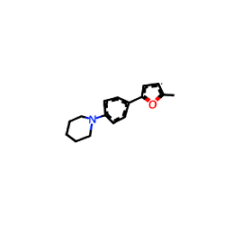 Cc1[c]cc(-c2ccc(N3CCCCC3)cc2)o1